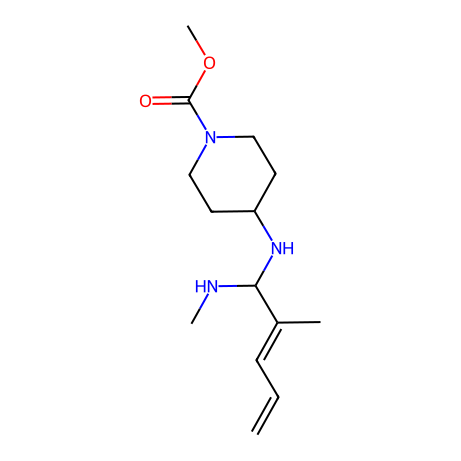 C=C/C=C(\C)C(NC)NC1CCN(C(=O)OC)CC1